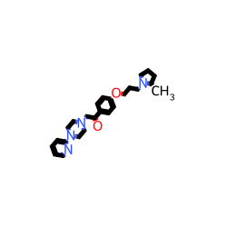 CC1CCCN1CCCOc1ccc(C(=O)CN2CCN(c3ccccn3)CC2)cc1